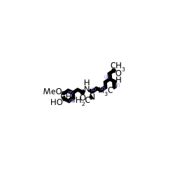 C=N/C(=C\C=C/CC(/C=C\C)=C/C(C)O)NC(=O)CC(/C=C\C(C)O)=C/COC